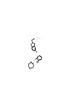 CC(C)(C)OC(=O)CC1Cc2ccc(COc3cccc4c3CN(C3CCC(=O)CCC3=O)C4=O)cc2C1